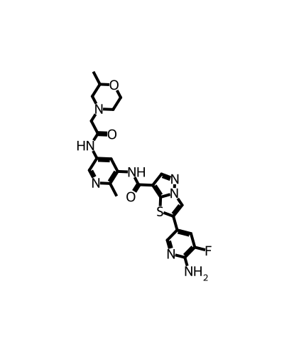 Cc1ncc(NC(=O)CN2CCOC(C)C2)cc1NC(=O)c1cnn2cc(-c3cnc(N)c(F)c3)sc12